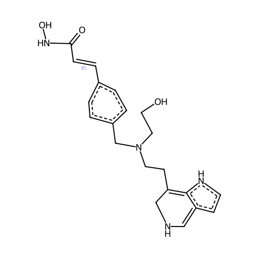 O=C(/C=C/c1ccc(CN(CCO)CCC2=c3[nH]ccc3=CNC2)cc1)NO